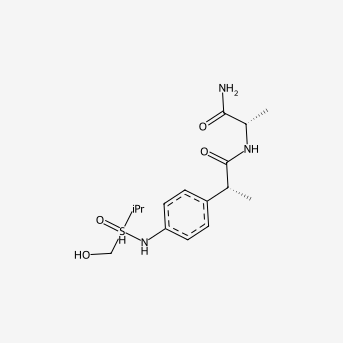 CC(C)[SH](=O)(CO)Nc1ccc([C@@H](C)C(=O)N[C@@H](C)C(N)=O)cc1